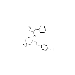 CC1=NC(C(=O)N2CCC3(CC3)CC2CNc2ccc(Cl)cn2)C(C2C=CC=CC2)S1